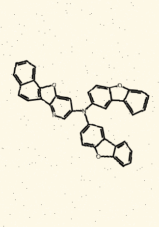 c1ccc2c(c1)ccc1c3ncc(N(c4ccc5oc6ccccc6c5c4)c4ccc5oc6ccccc6c5c4)cc3oc21